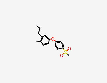 CCCc1cc(Oc2ccc(S(C)(=O)=O)cc2)ccc1C